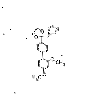 COc1ccc(-c2ccc(C3(Cn4ccnc4)OCCO3)cc2)c(OC)c1